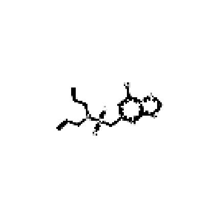 C=CCN(CC=C)S(=O)(=O)Cc1cc(O)n2ncnc2n1